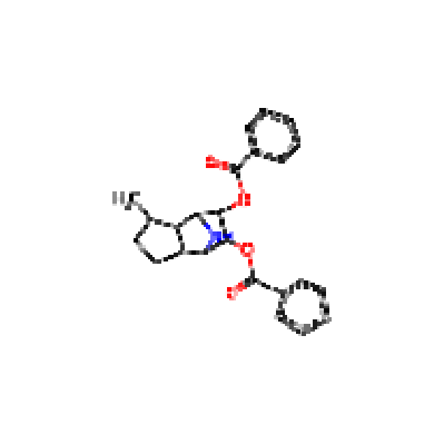 CC1CCC2C3NC(C(OC(=O)c4ccccc4)C3OC(=O)c3ccccc3)C12